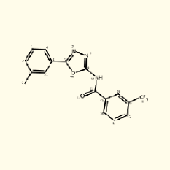 Cc1cccc(-c2nnc(NC(=O)c3cccc(C(F)(F)F)c3)o2)c1